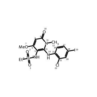 CCS(=O)(=O)Nc1c(OC)cc(=O)n(C)c1Nc1ccc(I)cc1Cl